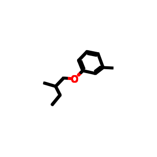 CCC(C)COc1cccc(C)c1